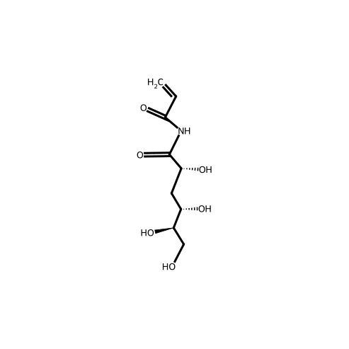 C=CC(=O)NC(=O)[C@H](O)C[C@H](O)[C@H](O)CO